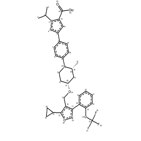 CC(C)n1nc(-c2ccc(N3CC[C@@H](OCc4c(-c5ccccc5OC(F)(F)F)noc4C4CC4)C[C@H]3C)cc2)cc1C(=O)O